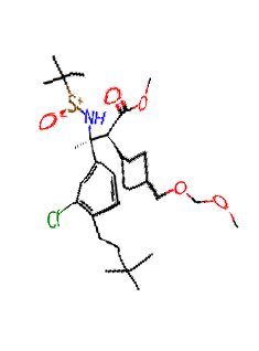 COCOCC1CC([C@H](C(=O)OC)[C@](C)(N[S@@+]([O-])C(C)(C)C)c2ccc(CCC(C)(C)C)c(Cl)c2)C1